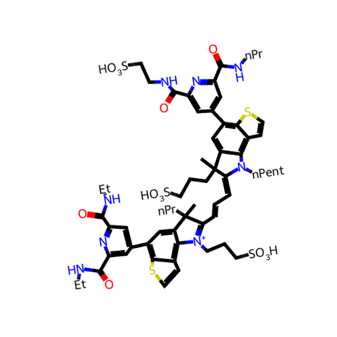 CCCCCN1/C(=C/C=C/C2=[N+](CCCS(=O)(=O)O)c3c(cc(-c4cc(C(=O)NCC)nc(C(=O)NCC)c4)c4sccc34)C2(C)CCC)C(C)(CCCS(=O)(=O)O)c2cc(-c3cc(C(=O)NCCC)nc(C(=O)NCCS(=O)(=O)O)c3)c3sccc3c21